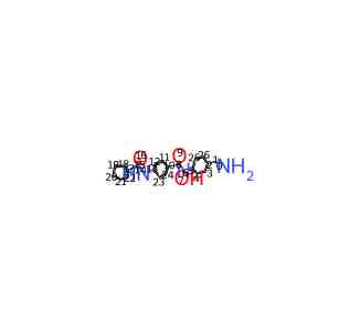 NCc1ccc(N(O)C(=O)c2ccc(NC(=O)c3ccccc3)cc2)cc1